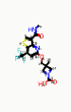 CNC(=O)c1csc2c(C(F)(F)F)cc(OCC3(C)CN(C(=O)O)C3)nc12